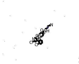 N#C/C=C/CNC(=O)C1(F)CCN(S(=O)(=O)c2cnc(Cl)cc2-c2ccccc2Cl)CC1